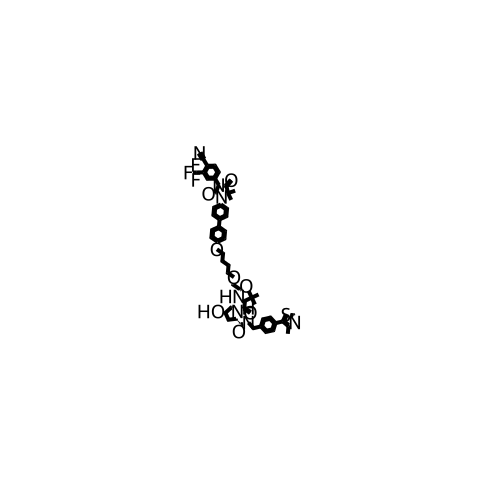 Cc1ncsc1-c1ccc(CNC(=O)[C@@H]2C[C@@H](O)CN2C(=O)[C@@H](NC(=O)COCCCCOc2ccc(-c3ccc(N4C(=O)N(c5ccc(C#N)c(C(F)(F)F)c5)C(=O)C4(C)C)cc3)cc2)C(C)(C)C)cc1